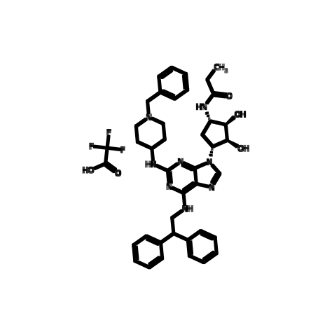 CCC(=O)N[C@H]1C[C@@H](n2cnc3c(NCC(c4ccccc4)c4ccccc4)nc(NC4CCN(Cc5ccccc5)CC4)nc32)[C@H](O)[C@@H]1O.O=C(O)C(F)(F)F